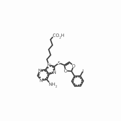 Nc1ncnc2c1nc(SC1=COC(c3ccccc3I)O1)n2CCCCCC(=O)O